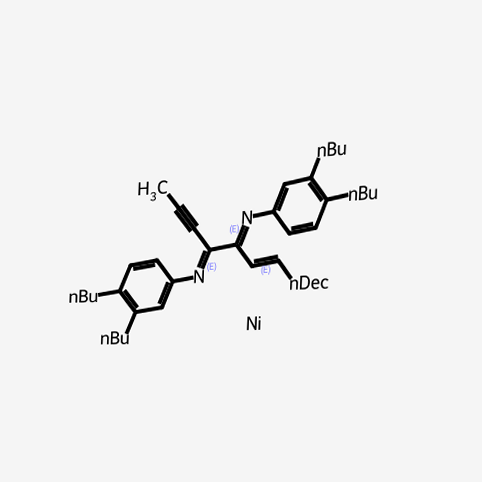 CC#CC(=N\c1ccc(CCCC)c(CCCC)c1)/C(/C=C/CCCCCCCCCC)=N/c1ccc(CCCC)c(CCCC)c1.[Ni]